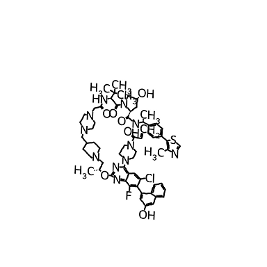 C=CC(=O)N1CCN(c2nc(O[C@H](C)CN3CCC(CN4CCN(CC(=O)N[C@H](C(=O)N5C[C@H](O)C[C@H]5C(=O)N[C@@H](C)c5ccc(-c6scnc6C)cc5)C(C)(C)C)CC4)CC3)nc3c(F)c(-c4cc(O)cc5ccccc45)c(Cl)cc23)CC1